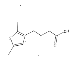 Cc1cc(CCCC(=O)O)c(C)s1